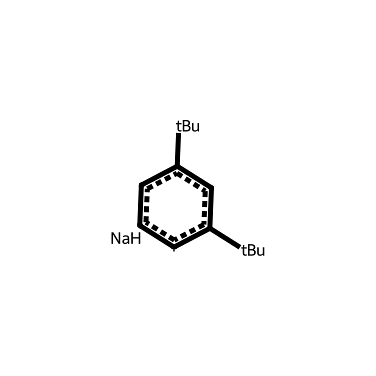 CC(C)(C)c1[c]ccc(C(C)(C)C)c1.[NaH]